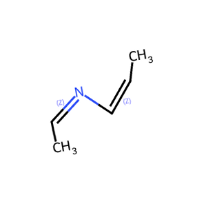 C/C=C\N=C/C